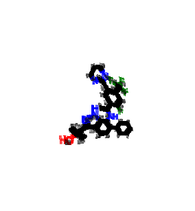 C=C(Nc1c(-c2ccccc2)ccc2c(C(C)(C)O)n[nH]c12)c1cc(-c2ncccn2)c(C(F)(F)F)cc1F